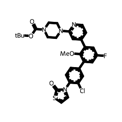 COc1c(-c2ccnc(N3CCN(C(=O)OC(C)(C)C)CC3)c2)cc(F)cc1-c1ccc(-n2ccsc2=O)c(Cl)c1